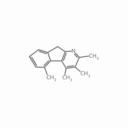 Cc1cccc2c1-c1c(nc(C)c(C)c1C)C2